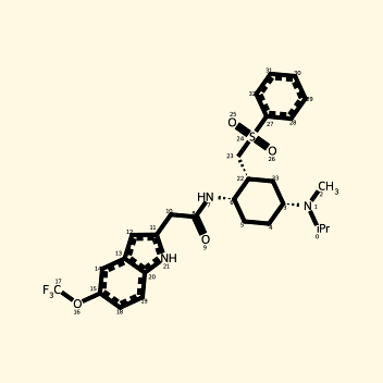 CC(C)N(C)[C@@H]1CC[C@H](NC(=O)Cc2cc3cc(OC(F)(F)F)ccc3[nH]2)[C@H](CS(=O)(=O)c2ccccc2)C1